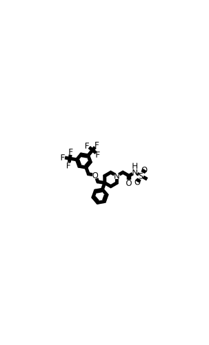 CS(=O)(=O)NC(=O)CN1CCC(COCc2cc(C(F)(F)F)cc(C(F)(F)F)c2)(c2ccccc2)CC1